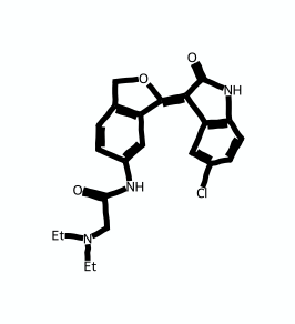 CCN(CC)CC(=O)Nc1ccc2c(c1)/C(=C1/C(=O)Nc3ccc(Cl)cc31)OC2